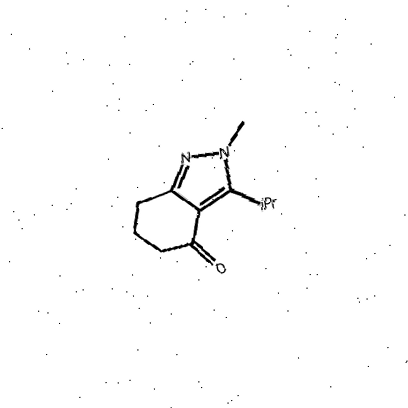 CC(C)c1c2c(nn1C)CCCC2=O